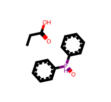 CCC(=O)O.O=[PH](c1ccccc1)c1ccccc1